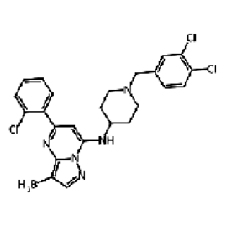 Bc1cnn2c(NC3CCN(Cc4ccc(Cl)c(Cl)c4)CC3)cc(-c3ccccc3Cl)nc12